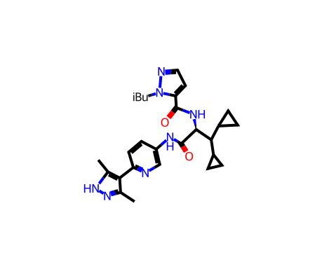 CCC(C)n1nccc1C(=O)N[C@H](C(=O)Nc1ccc(-c2c(C)n[nH]c2C)nc1)C(C1CC1)C1CC1